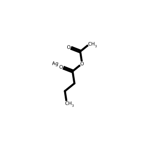 CCCC(=O)OC(C)=O.[Ag]